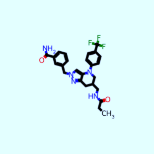 CCC(=O)NCC1Cc2nn(Cc3cccc(C(N)=O)c3)cc2N(c2ccc(C(F)(F)F)cc2)C1